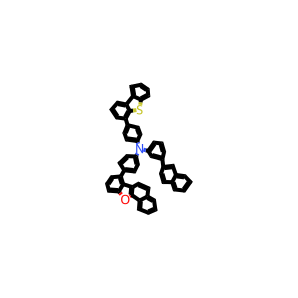 c1cc(-c2ccc3ccccc3c2)cc(N(c2ccc(-c3cccc4c3sc3ccccc34)cc2)c2ccc(-c3cccc4oc5c6ccccc6ccc5c34)cc2)c1